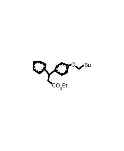 CCOC(=O)CC(c1ccccc1)c1ccc(OCC(C)CC)cc1